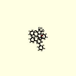 CN1C(=O)c2cccc(-n3c4ccccc4c4cccc(-c5nc(-c6ccccc6)nc(-c6ccccc6)n5)c43)c2C1=O